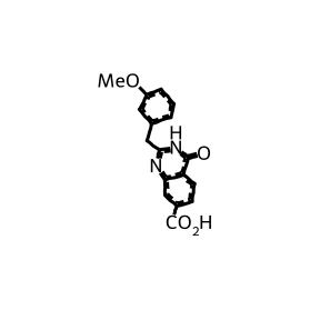 COc1cccc(Cc2nc3cc(C(=O)O)ccc3c(=O)[nH]2)c1